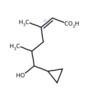 C/C(=C/C(=O)O)CC(C)C(O)C1CC1